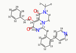 CC(C)N1CCn2c(Cc3ccccc3-c3ccncc3)nc(=O)c(OCc3ccccc3)c2C1=O